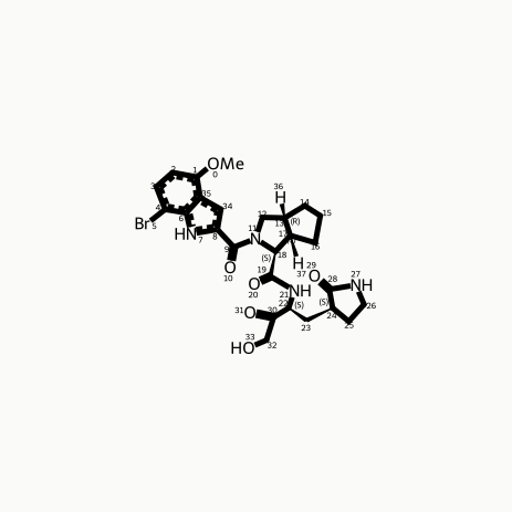 COc1ccc(Br)c2[nH]c(C(=O)N3C[C@@H]4CCC[C@@H]4[C@H]3C(=O)N[C@@H](C[C@@H]3CCNC3=O)C(=O)CO)cc12